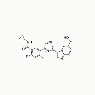 Cc1cc(F)c(C(=O)NC2CC2)cc1/C(C=N)=C/Nc1cnc2ccc(C(C)O)cn12